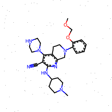 COCOc1ccccc1N1CCc2c(nc(NC3CCN(C)CC3)c(C#N)c2N2CCNCC2)C1